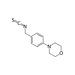 S=C=NCc1ccc(N2CCOCC2)cc1